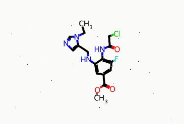 CCn1cncc1CNc1cc(C(=O)OC)cc(F)c1NC(=O)CCl